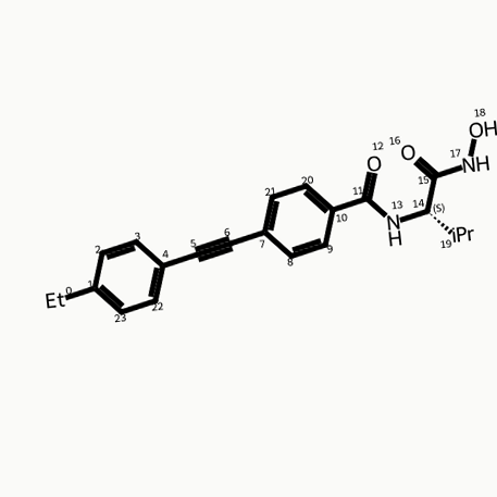 CCc1ccc(C#Cc2ccc(C(=O)N[C@H](C(=O)NO)C(C)C)cc2)cc1